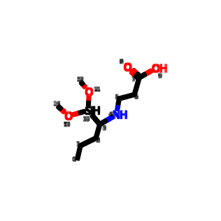 CCCC(NCCC(=O)O)[SiH](OC)OC